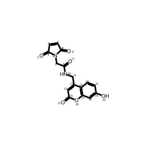 O=C(CN1C(=O)C=CC1=O)NCc1cc(=O)oc2cc(O)ccc12